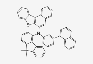 CC1(C)c2ccccc2-c2c(N(c3cccc(-c4cccc5ccccc45)c3)c3cc4ccccc4c4c3sc3ccccc34)cccc21